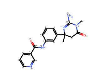 CN1C(=O)CC(C)(c2cccc(NC(=O)c3cccnc3)c2)N=C1N